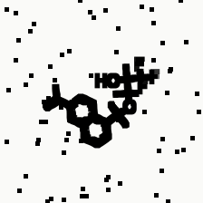 C=C(C)c1ccc2c(C(C)(C)OC(C)(C)C(C)(O)C(F)(F)F)cccc2c1